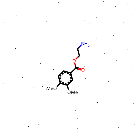 COc1ccc(C(=O)OCCN)cc1OC